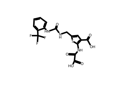 O=C(NCc1cc(C(=O)O)c(NC(=O)C(=O)O)s1)Nc1ccccc1C(F)(F)F